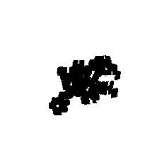 C[Si](C)(C)C#Cc1c(N)c(F)c(F)c(Oc2cc(C#N)c(F)cc2OCc2ccccc2)c1Br